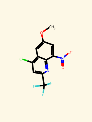 COc1cc([N+](=O)[O-])c2nc(C(F)(F)F)cc(Cl)c2c1